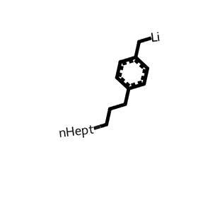 [Li][CH2]c1ccc(CCCCCCCCCC)cc1